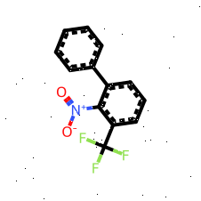 O=[N+]([O-])c1c(-c2ccccc2)cccc1C(F)(F)F